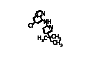 CCC(C)(C)c1ccc(Nc2cc(Cl)cn3ccnc23)nc1